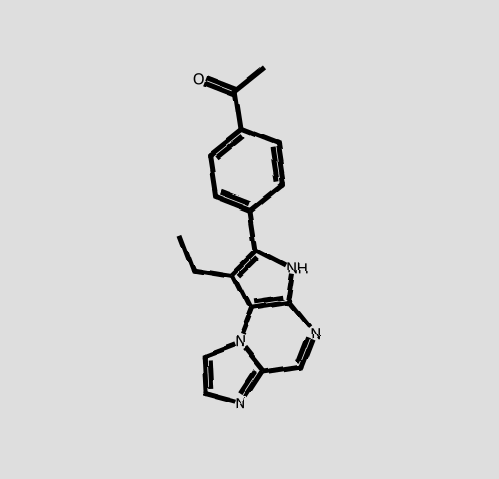 CCc1c(-c2ccc(C(C)=O)cc2)[nH]c2ncc3nccn3c12